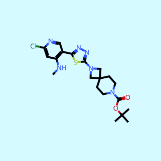 CNc1cc(Cl)ncc1-c1nnc(N2CC3(CCN(C(=O)OC(C)(C)C)CC3)C2)s1